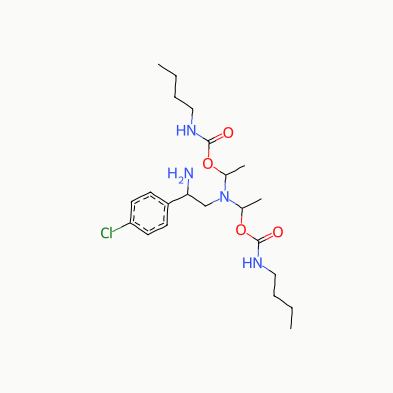 CCCCNC(=O)OC(C)N(CC(N)c1ccc(Cl)cc1)C(C)OC(=O)NCCCC